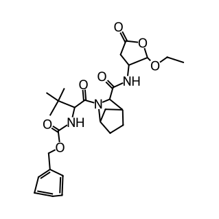 CCOC1OC(=O)CC1NC(=O)C1C2CCC(C2)N1C(=O)C(NC(=O)OCc1ccccc1)C(C)(C)C